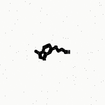 Cc1cnc2cc(OCCO)ccn12